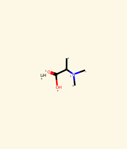 CC(C(=O)O)N(C)C.[LiH]